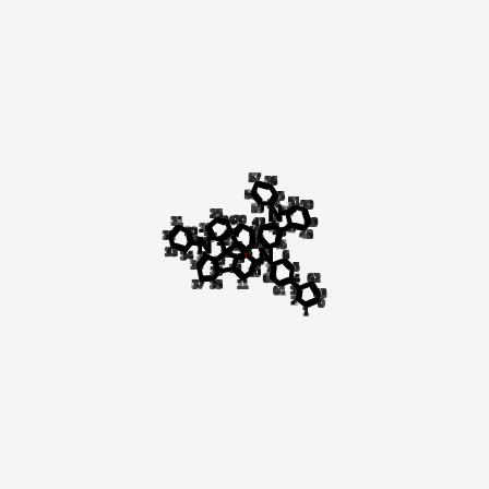 c1ccc(-c2ccc(N(c3ccc4c(c3)C3(c5ccccc5)c5ccccc5N(c5ccccc5)c5cccc-4c53)c3ccc4c(c3)c3ccccc3n4-c3ccccc3)cc2)cc1